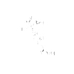 CC(C)(Br)C(=O)O.CO.O=C(O)CCC(Cl)CO